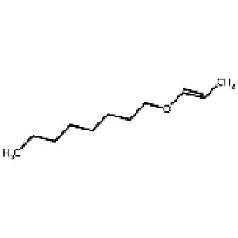 CC=COCCCCCCCC